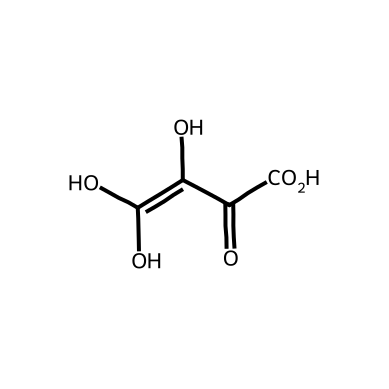 O=C(O)C(=O)C(O)=C(O)O